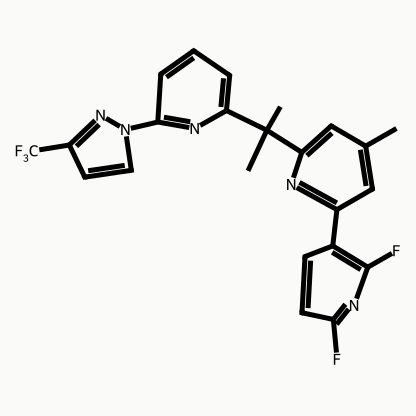 Cc1cc(-c2ccc(F)nc2F)nc(C(C)(C)c2cccc(-n3ccc(C(F)(F)F)n3)n2)c1